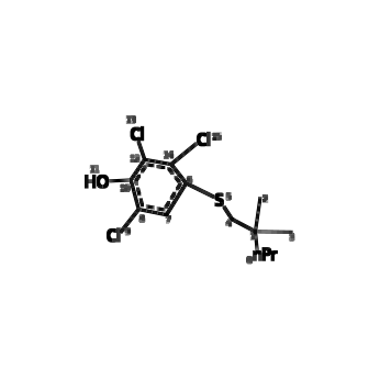 CCCC(C)(C)CSc1cc(Cl)c(O)c(Cl)c1Cl